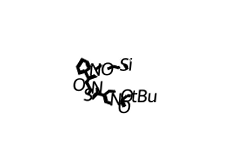 CC(C)(C)OC(=O)N1CC=C(c2csc(C(=O)c3cn(COCC[Si](C)(C)C)c4ccccc34)n2)CC1